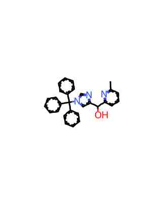 Cc1cccc(C(O)c2cn(C(c3ccccc3)(c3ccccc3)c3ccccc3)cn2)n1